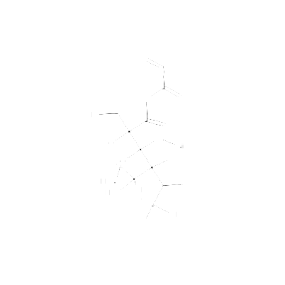 C=CC(=O)OC(=O)C(O)(CO)C(O[SiH3])(O[SiH3])C(C)(C(C)[Si](C)(C)C)C(C)(C)C